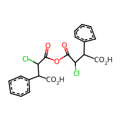 O=C(OC(=O)C(Cl)C(C(=O)O)c1ccccc1)C(Cl)C(C(=O)O)c1ccccc1